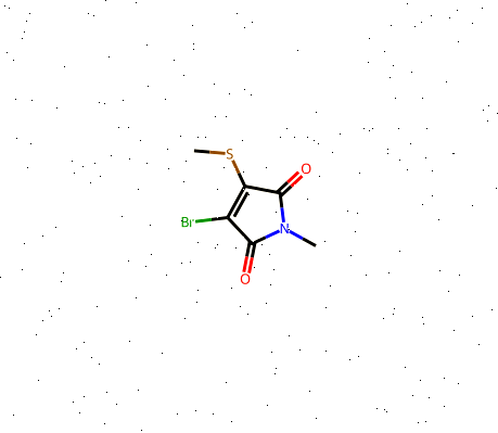 CSC1=C(Br)C(=O)N(C)C1=O